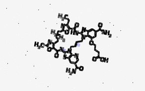 CCc1nc(C)oc1C(=O)/N=c1\sc2cc(C(N)=O)cnc2n1C/C=C/Cn1c(NC(=O)c2oc(C)nc2CC)nc2cc(C(N)=O)cc(OCCCC(=O)O)c21